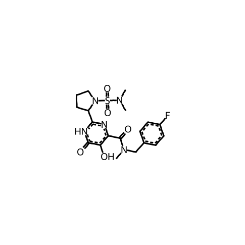 CN(Cc1ccc(F)cc1)C(=O)c1nc(C2CCCN2S(=O)(=O)N(C)C)[nH]c(=O)c1O